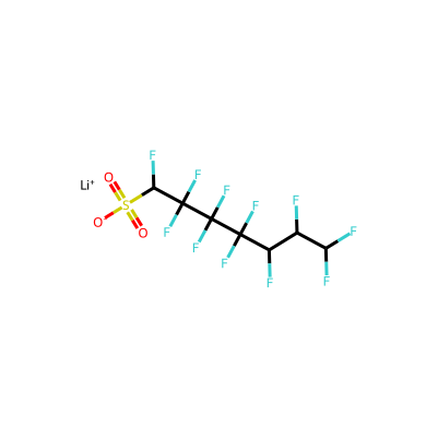 O=S(=O)([O-])C(F)C(F)(F)C(F)(F)C(F)(F)C(F)C(F)C(F)F.[Li+]